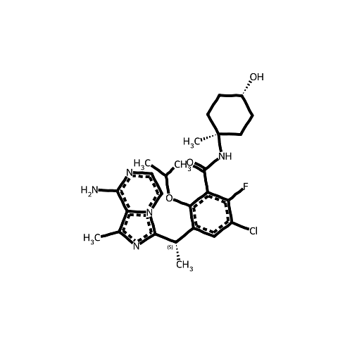 Cc1nc([C@@H](C)c2cc(Cl)c(F)c(C(=O)N[C@]3(C)CC[C@@H](O)CC3)c2OC(C)C)n2ccnc(N)c12